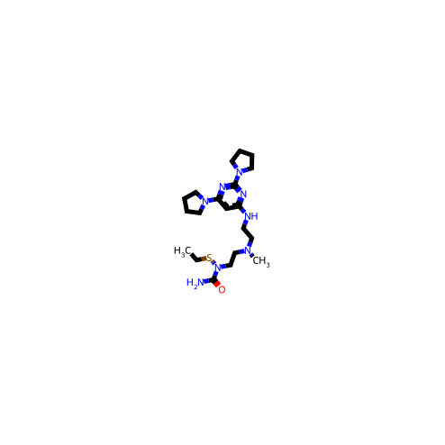 CCSN(CCN(C)CCNc1cc(N2CCCC2)nc(N2CCCC2)n1)C(N)=O